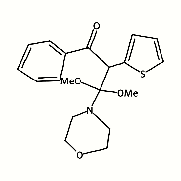 COC(OC)(C(C(=O)c1ccccc1)c1cccs1)N1CCOCC1